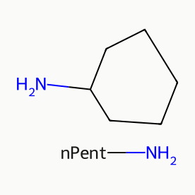 CCCCCN.NC1CCCCC1